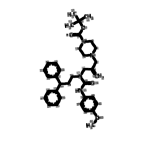 C=C(CN1CCN(C(=O)OC(C)(C)C)CC1)CN(CCC(c1ccccc1)c1ccccc1)C(=O)Nc1ccc(OC)cc1